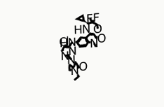 CCN1CC2CC(C1=O)N2c1ncc(Cl)c(Nc2ccc3c(c2)c2c(c(=O)n3C)OCC(F)(F)[C@H](C3CC3)N2)n1